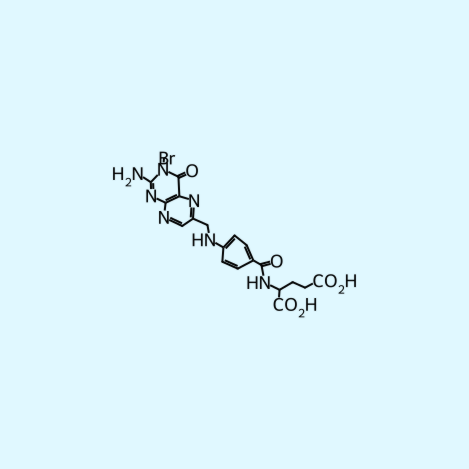 Nc1nc2ncc(CNc3ccc(C(=O)NC(CCC(=O)O)C(=O)O)cc3)nc2c(=O)n1Br